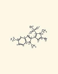 CCS(=O)(=O)c1c(-c2nc3cc(C(F)(F)F)ncc3n2C)nc(Br)n1C